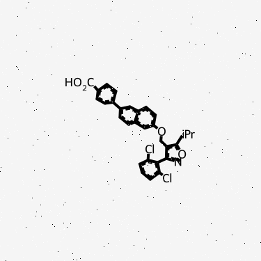 CC(C)c1onc(-c2c(Cl)cccc2Cl)c1COc1ccc2cc(-c3ccc(C(=O)O)cc3)ccc2c1